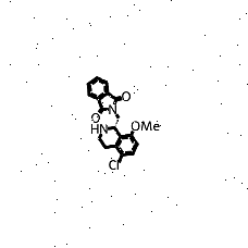 COc1ccc(Cl)c2c1[C@@H](CN1C(=O)c3ccccc3C1=O)NCC2